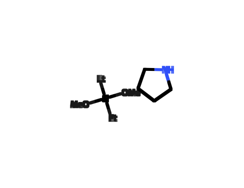 C1CCNC1.CC[Si](CC)(OC)OC